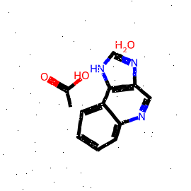 CC(=O)O.O.c1ccc2c(c1)ncc1nc[nH]c12